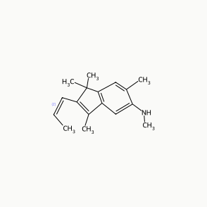 C/C=C\C1=C(C)c2cc(NC)c(C)cc2C1(C)C